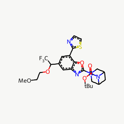 COCCOC(c1cc(-c2nccs2)c2oc(N3CC4CC(C3)N4C(=O)OC(C)(C)C)nc2c1)C(F)(F)F